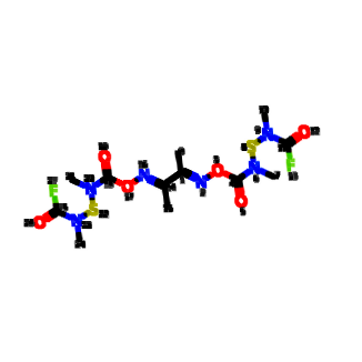 CC(=N\OC(=O)N(C)SN(C)C(=O)F)/C(C)=N/OC(=O)N(C)SN(C)C(=O)F